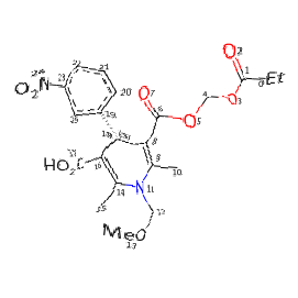 CCC(=O)OCOC(=O)C1=C(C)N(COC)C(C)=C(C(=O)O)[C@@H]1c1cccc([N+](=O)[O-])c1